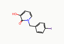 O=c1c(O)cccn1Cc1ccc(I)cc1